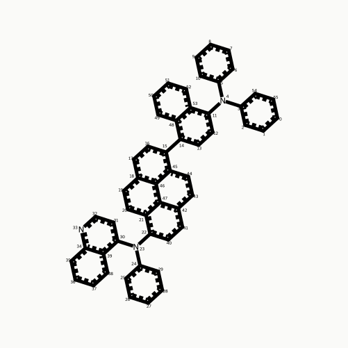 c1ccc(N(c2ccccc2)c2ccc(-c3ccc4ccc5c(N(c6ccccc6)c6ccnc7ccccc67)ccc6ccc3c4c65)c3ccccc23)cc1